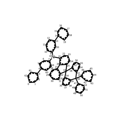 c1ccc(-c2ccc(N(c3cccc(-c4ccccc4)c3)c3cccc4c3-c3ccccc3C43c4ccccc4C(c4ccccc4)(c4ccccc4)c4ccccc43)cc2)cc1